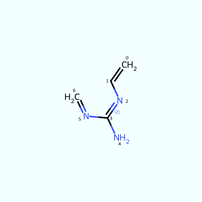 C=C/N=C(/N)N=C